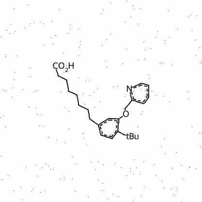 CC(C)(C)c1ccc(CCCCCCCC(=O)O)cc1OCc1ccccn1